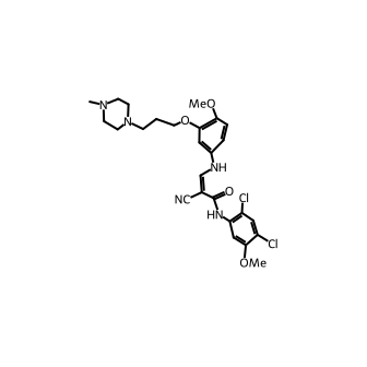 COc1cc(NC(=O)/C(C#N)=C\Nc2ccc(OC)c(OCCCN3CCN(C)CC3)c2)c(Cl)cc1Cl